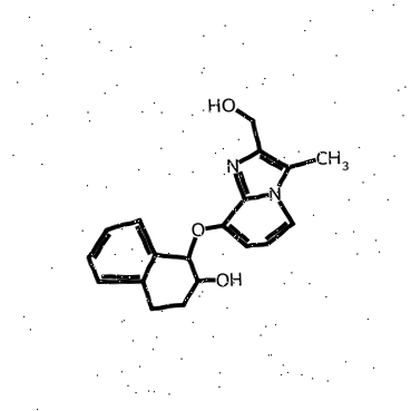 Cc1c(CO)nc2c(OC3c4ccccc4CCC3O)cccn12